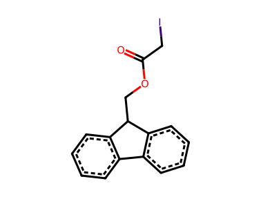 O=C(CI)OCC1c2ccccc2-c2ccccc21